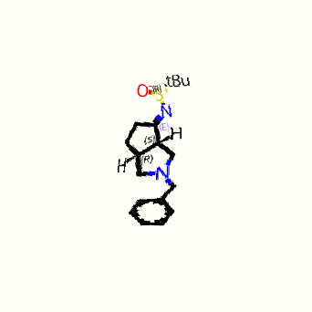 CC(C)(C)[S@+]([O-])/N=C1\CC[C@H]2CN(Cc3ccccc3)C[C@@H]12